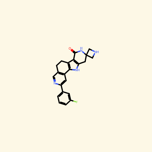 O=C1NC2(CNC2)Cc2[nH]c3c(c21)CCc1cnc(-c2cccc(F)c2)cc1-3